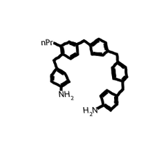 CCCc1cc(Cc2ccc(Cc3ccc(Cc4ccc(N)cc4)cc3)cc2)ccc1Cc1ccc(N)cc1